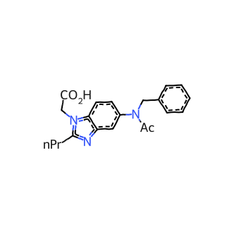 CCCc1nc2cc(N(Cc3ccccc3)C(C)=O)ccc2n1CC(=O)O